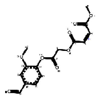 COC(=O)/C=C\C(=O)OCC(=O)Oc1ccc(C=O)cc1OC